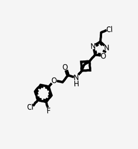 O=C(COc1ccc(Cl)c(F)c1)NC12CC(c3nc(CCl)no3)(C1)C2